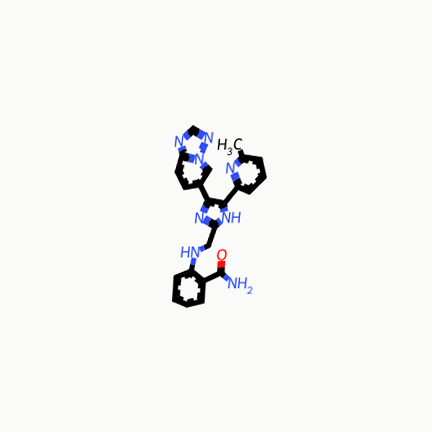 Cc1cccc(-c2[nH]c(CNc3ccccc3C(N)=O)nc2-c2ccc3ncnn3c2)n1